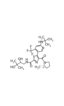 C[C@H]1CCCN1C(=O)c1nc(C(=O)NCC(O)C(C)(C)O)sc1-c1cnc(NC(C)(C)C)cc1C(F)(F)F